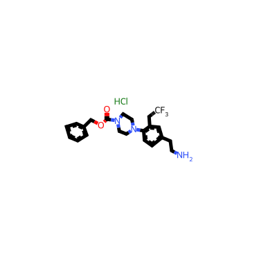 Cl.NCCc1ccc(N2CCN(C(=O)OCc3ccccc3)CC2)c(CC(F)(F)F)c1